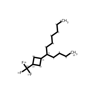 CCCCCCC(CCCC)C1CC(C(F)(F)F)C1